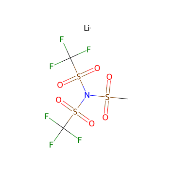 CS(=O)(=O)N(S(=O)(=O)C(F)(F)F)S(=O)(=O)C(F)(F)F.[Li]